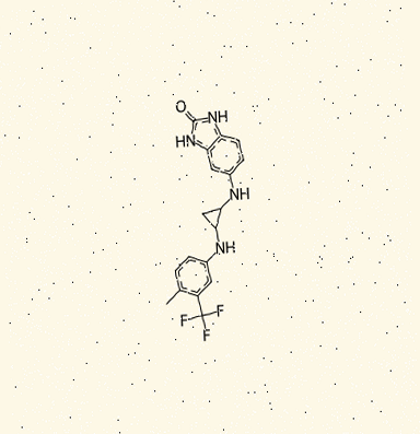 Cc1ccc(NC2CC2Nc2ccc3[nH]c(=O)[nH]c3c2)cc1C(F)(F)F